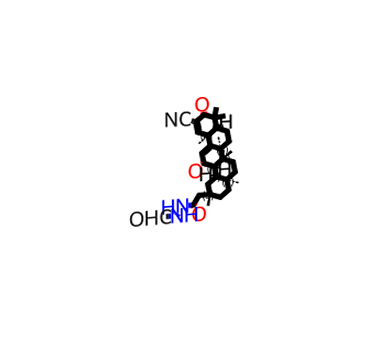 CC1(C)C(=O)C(C#N)=C[C@]2(C)C3=CC(=O)[C@@H]4[C@@H]5C[C@@](C)(CC(=O)NNC=O)CC[C@]5(C)CC[C@@]4(C)[C@]3(C)CC[C@@H]12